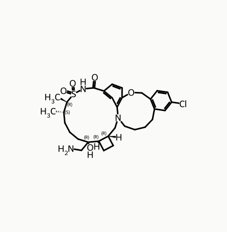 C[C@@H]1[C@@H](C)CCC[C@](O)(CN)[C@@H]2CC[C@H]2CN2CCCCc3cc(Cl)ccc3COc3ccc(cc32)C(=O)NS1(=O)=O